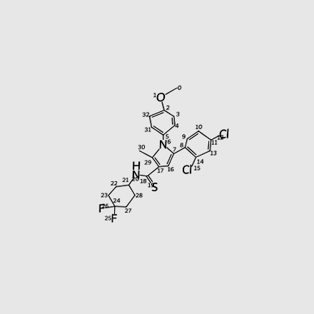 COc1ccc(-n2c(-c3ccc(Cl)cc3Cl)cc(C(=S)NC3CCC(F)(F)CC3)c2C)cc1